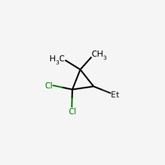 [CH2]CC1C(C)(C)C1(Cl)Cl